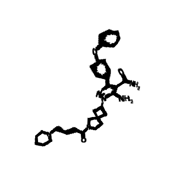 NC(=O)c1c(-c2ccc(Oc3ccccc3)cc2)nn([C@H]2C[C@]3(CCN(C(=O)/C=C/CN4CCCCC4)C3)C2)c1N